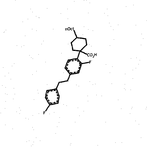 CCCCCCCCC1CCC(C(=O)O)(c2ccc(CCc3ccc(F)cc3)cc2F)CC1